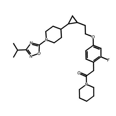 CC(C)c1noc(N2CCC(C3CC3CCOc3ccc(CC(=O)N4CCCCC4)c(F)c3)CC2)n1